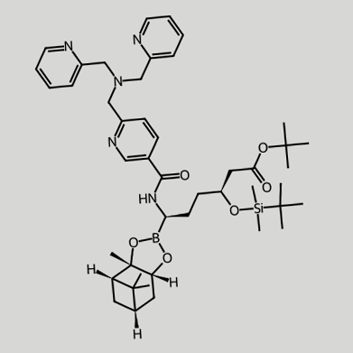 CC(C)(C)OC(=O)C[C@H](CC[C@H](NC(=O)c1ccc(CN(Cc2ccccn2)Cc2ccccn2)nc1)B1O[C@@H]2C[C@@H]3C[C@@H](C3(C)C)[C@]2(C)O1)O[Si](C)(C)C(C)(C)C